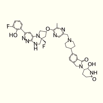 Cc1nc(CN2CCC(c3ccc4c(c3)C(=O)N([C@H]3CCC(=O)NC3O)C4)CC2)cnc1O[C@H]1CN2c3cc(-c4cccc(F)c4O)nnc3NC[C@@]2(CF)C1